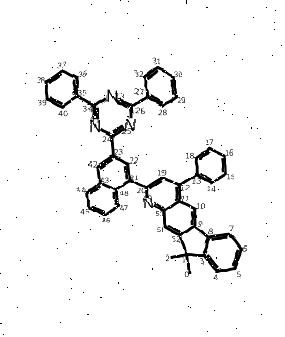 CC1(C)c2ccccc2-c2cc3c(-c4ccccc4)cc(-c4cc(-c5nc(-c6ccccc6)nc(-c6ccccc6)n5)cc5ccccc45)nc3cc21